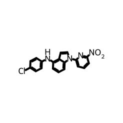 O=[N+]([O-])c1cccc(-n2ccc3c(Nc4ccc(Cl)cc4)cccc32)n1